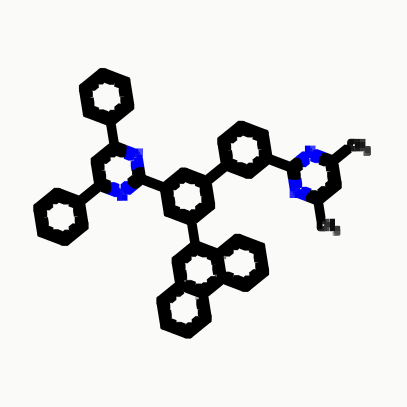 Cc1cc(C)nc(-c2cccc(-c3cc(-c4nc(-c5ccccc5)cc(-c5ccccc5)n4)cc(-c4cc5ccccc5c5ccccc45)c3)c2)n1